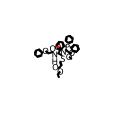 CCOC(=O)C=CS[C@@H]1[C@H](NC(=O)COc2ccccc2)C(=O)N1C(C(=O)OC)=P(c1ccccc1)(c1ccccc1)c1ccccc1